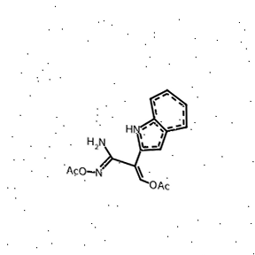 CC(=O)O/C=C(/C(N)=N/OC(C)=O)c1cc2ccccc2[nH]1